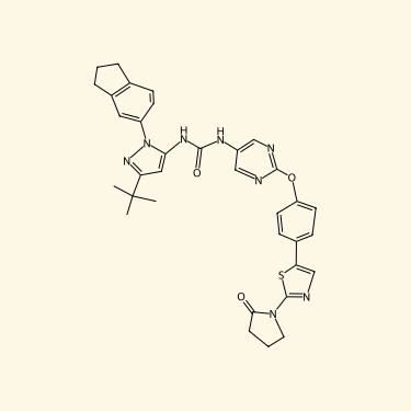 CC(C)(C)c1cc(NC(=O)Nc2cnc(Oc3ccc(-c4cnc(N5CCCC5=O)s4)cc3)nc2)n(-c2ccc3c(c2)CCC3)n1